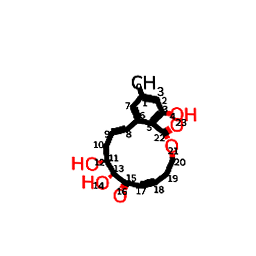 Cc1cc(O)c2c(c1)/C=C/C[C@H](O)[C@H](O)C(=O)/C=C\CCOC2=O